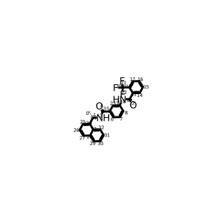 C[C@H](NC(=O)c1cccc(NC(=O)c2ccccc2C(F)(F)F)c1)c1cccc2ccccc12